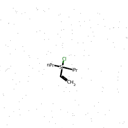 C=C[Si](Cl)(CCC)C(C)C